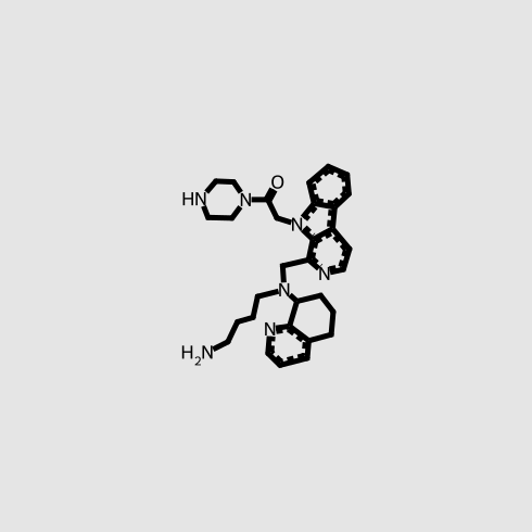 NCCCCN(Cc1nccc2c3ccccc3n(CC(=O)N3CCNCC3)c12)C1CCCc2cccnc21